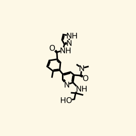 Cc1ccc(C(=O)Nc2cc[nH]n2)cc1-c1cnc(NC(C)(C)CO)c(C(=O)N(C)C)c1